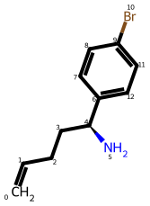 C=CCC[C@H](N)c1ccc(Br)cc1